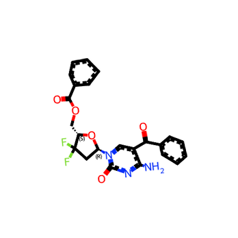 Nc1nc(=O)n([C@H]2CC(F)(F)[C@H](COC(=O)c3ccccc3)O2)cc1C(=O)c1ccccc1